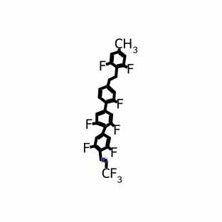 Cc1cc(F)c(CCc2ccc(-c3cc(F)c(-c4cc(F)c(/C=C/C(F)(F)F)c(F)c4)c(F)c3)c(F)c2)c(F)c1